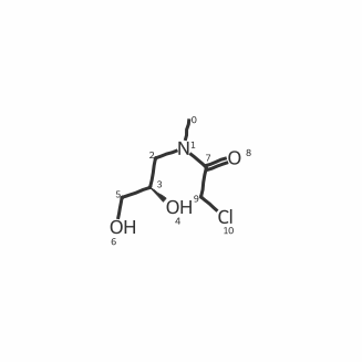 CN(C[C@@H](O)CO)C(=O)CCl